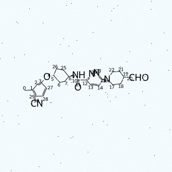 Cc1cc(O[C@H]2CC[C@H](NC(=O)c3ccc(N4CCC(C=O)CC4)nn3)CC2)ccc1C#N